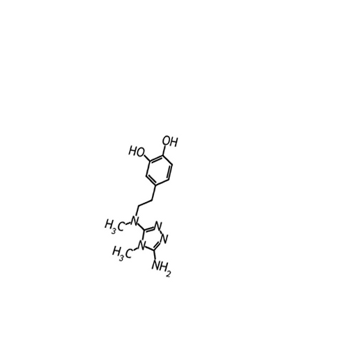 CN(CCc1ccc(O)c(O)c1)c1nnc(N)n1C